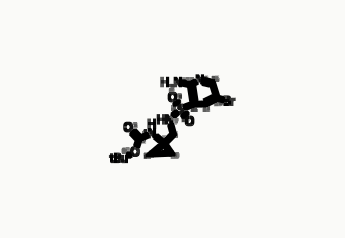 CC(C)(C)OC(=O)NC1(CNS(=O)(=O)c2cc(Br)cnc2N)CC1